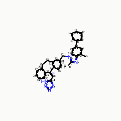 CCCc1nc2c(C)cc(-c3ccccc3)cc2n1Cc1ccc2c(c1)CCc1ccccc1/C2=C\c1nnn[nH]1